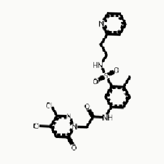 Cc1ccc(NC(=O)Cn2nc(Cl)c(Cl)cc2=O)cc1S(=O)(=O)NCCc1ccccn1